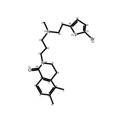 Cc1ccc2c(c1C)CCN(CCCN(C)CCc1ccc(Br)s1)C2=O